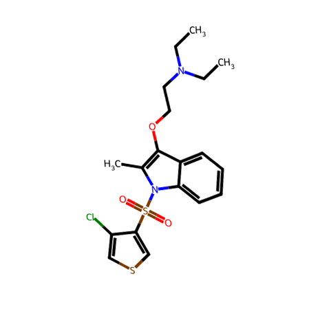 CCN(CC)CCOc1c(C)n(S(=O)(=O)c2cscc2Cl)c2ccccc12